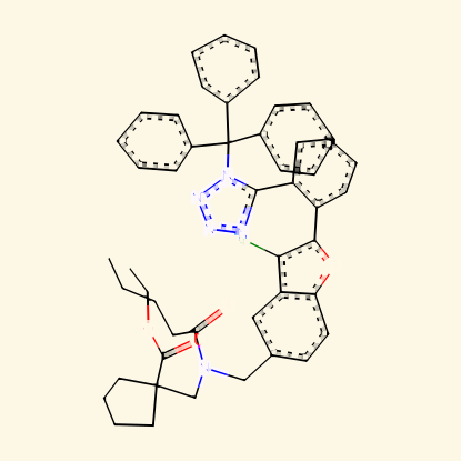 CCCCC(=O)N(Cc1ccc2oc(-c3ccccc3-c3nnnn3C(c3ccccc3)(c3ccccc3)c3ccccc3)c(Br)c2c1)CC1(C(=O)OCC)CCCC1